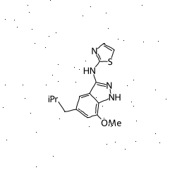 COc1cc(CC(C)C)cc2c(Nc3nccs3)n[nH]c12